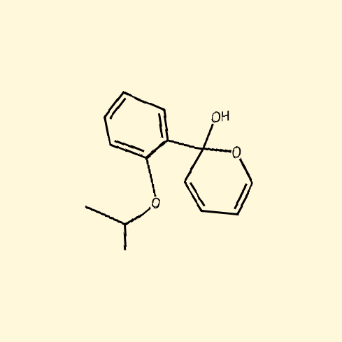 CC(C)Oc1ccccc1C1(O)C=CC=CO1